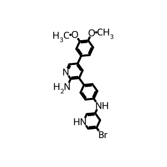 COc1ccc(-c2cnc(N)c(-c3ccc(NC4=CNC=C(Br)C4)cc3)c2)cc1OC